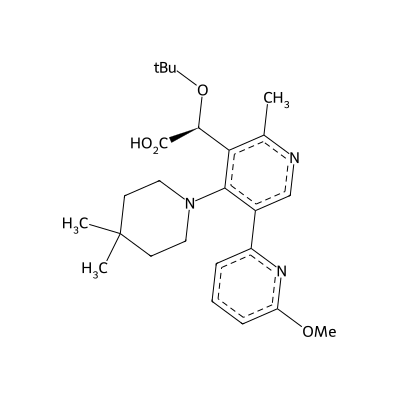 COc1cccc(-c2cnc(C)c([C@H](OC(C)(C)C)C(=O)O)c2N2CCC(C)(C)CC2)n1